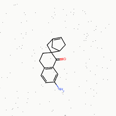 Nc1ccc2c(c1)C(=O)C1(CC2)CC2=CCC1C2